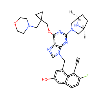 C#Cc1c(F)ccc2cc(O)cc(Cn3cnc4c(OCC5(CN6CCOCC6)CC5)nc(N5C[C@H]6CC[C@@H](C5)N6)nc43)c12